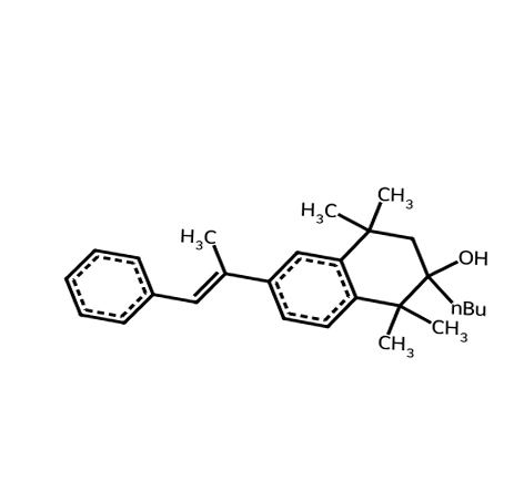 CCCCC1(O)CC(C)(C)c2cc(C(C)=Cc3ccccc3)ccc2C1(C)C